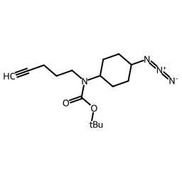 C#CCCCN(C(=O)OC(C)(C)C)C1CCC(N=[N+]=[N-])CC1